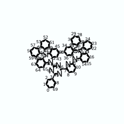 c1ccc(-c2nc(-c3cccc(N4c5ccccc5[Si](c5ccccc5)(c5ccccc5)c5ccccc54)n3)nc(N3c4ccccc4[Si](c4ccccc4)(c4ccccc4)c4ccccc43)n2)cc1